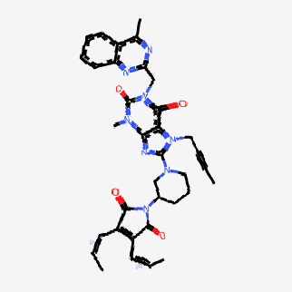 CC#CCn1c(N2CCCC(N3C(=O)C(/C=C\C)=C(/C=C\C)C3=O)C2)nc2c1c(=O)n(Cc1nc(C)c3ccccc3n1)c(=O)n2C